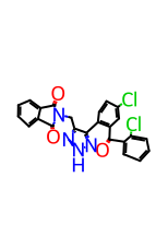 O=C(c1ccccc1Cl)c1cc(Cl)ccc1-c1n[nH]nc1CN1C(=O)c2ccccc2C1=O